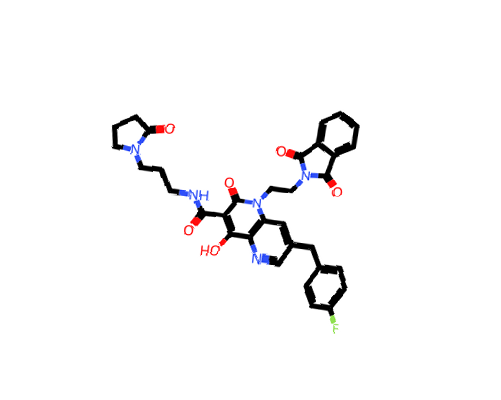 O=C(NCCCN1CCCC1=O)c1c(O)c2ncc(Cc3ccc(F)cc3)cc2n(CCN2C(=O)c3ccccc3C2=O)c1=O